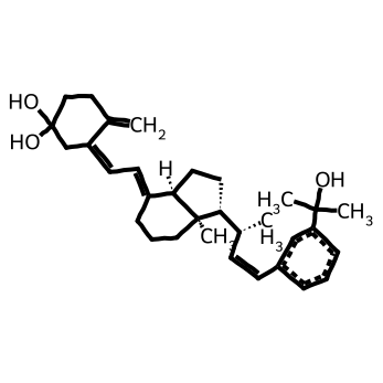 C=C1CCC(O)(O)C/C1=C/C=C1\CCC[C@@]2(C)[C@@H]1CC[C@@H]2[C@H](C)/C=C\c1cccc(C(C)(C)O)c1